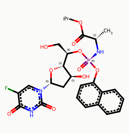 CC(C)OC(=O)[C@H](C)N[P@](=O)(Oc1cccc2ccccc12)O[C@H](CO)[C@H]1O[C@@H](n2cc(F)c(=O)[nH]c2=O)C[C@@H]1O